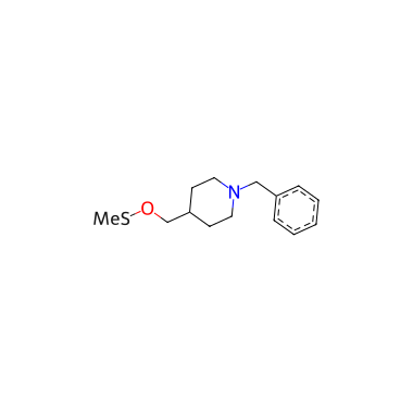 CSOCC1CCN(Cc2ccccc2)CC1